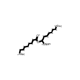 CCCCCCCCCCCCCCCCCC(=O)OC(CCCCCCCCC)CCCCCCCCCCCCCCCC